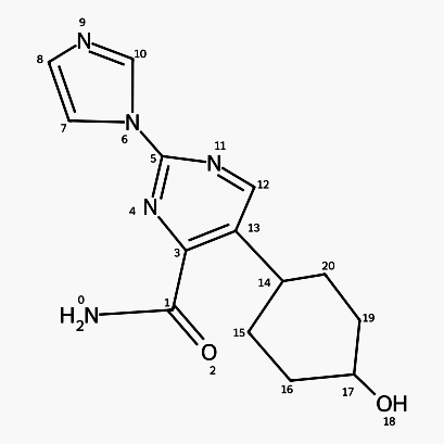 NC(=O)c1nc(-n2ccnc2)ncc1C1CCC(O)CC1